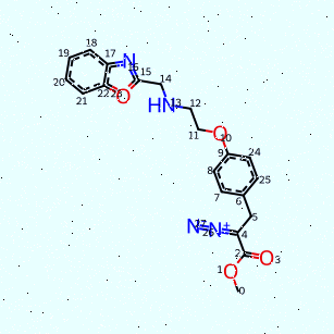 COC(=O)C(Cc1ccc(OCCNCc2nc3ccccc3o2)cc1)=[N+]=[N-]